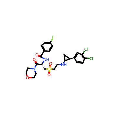 O=C(N[C@H](CS(=O)(=O)CCNC1C[C@H]1c1ccc(Cl)c(Cl)c1)C(=O)N1CCOCC1)c1ccc(F)cc1